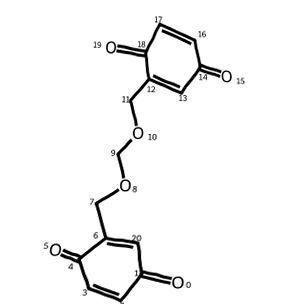 O=C1C=CC(=O)C(COCOCC2=CC(=O)C=CC2=O)=C1